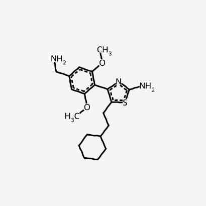 COc1cc(CN)cc(OC)c1-c1nc(N)sc1CCC1CCCCC1